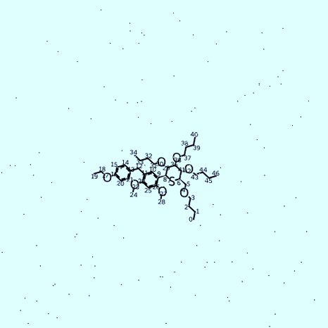 CCCCOC[C@H]1S[C@@H](c2cc(Cc3ccc(OCC)cc3)c(OC)cc2OC)[C@H](OCCCC)[C@@H](OCCCC)[C@@H]1OCCCC